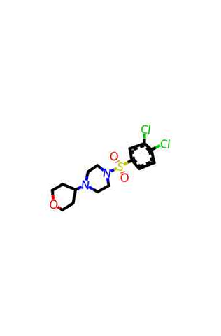 O=S(=O)(c1ccc(Cl)c(Cl)c1)N1CCN(C2CCOCC2)CC1